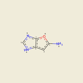 Nc1cc2[nH]cnc2o1